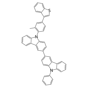 Cc1cc(-c2csc3ccccc23)ccc1-n1c2ccccc2c2cc(-c3ccc4c(c3)c3ccccc3n4-c3ccccc3)ccc21